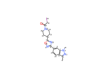 Cc1nn(C)c2cc(-c3noc(C4CCN(C(=O)CI)CC4)n3)ccc12